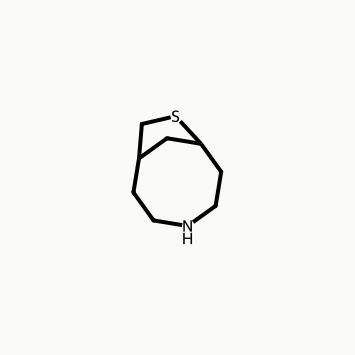 C1CC2CSC(CCN1)C2